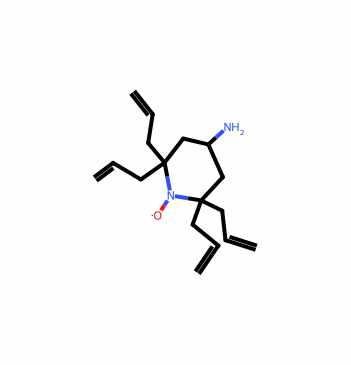 C=CCC1(CC=C)CC(N)CC(CC=C)(CC=C)N1[O]